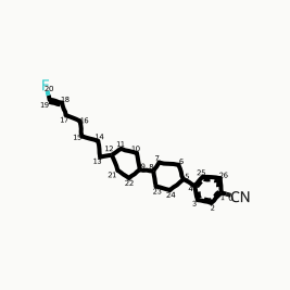 N#Cc1ccc(C2CCC(C3CCC(CCCCCC=CF)CC3)CC2)cc1